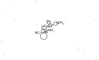 CN1CCC(Oc2ccncc2NC(=O)c2c(N)nn3c2NCC(CC#N)C32CCCCCCCCCC2)CC1